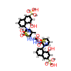 Cc1c2ccc(c1NC(=O)Nc1c3ccc(c1C)N(c1cccc4cc(S(=O)(=O)O)cc(O)c14)S3(=O)=O)S(=O)(=O)N2c1cccc2cc(S(=O)(=O)O)cc(O)c12